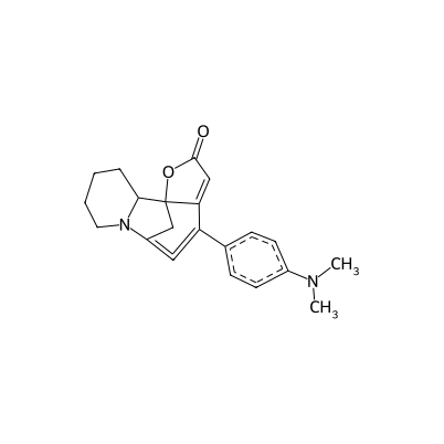 CN(C)c1ccc(C2=C=C3CC4(OC(=O)C=C24)C2CCCCN32)cc1